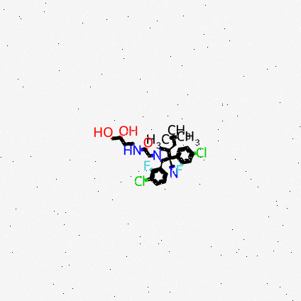 CC(C)(C)C[C@@H]1CN(CC(=O)NCCC(O)CO)[C@H](c2cccc(Cl)c2F)[C@@]1(C#N)c1ccc(Cl)cc1F